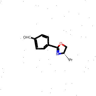 CC(C)[C@H]1COC(c2ccc(C=O)cc2)=N1